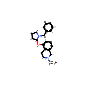 O=C(O)N1CCc2c(cccc2OC2CCCN2Cc2ccccc2)C1